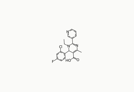 CCN1C(c2cccnc2)=NC(C)=C(C(=O)O)C1c1ccc(F)cc1Cl